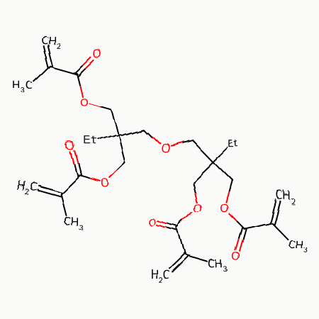 C=C(C)C(=O)OCC(CC)(COCC(CC)(COC(=O)C(=C)C)COC(=O)C(=C)C)COC(=O)C(=C)C